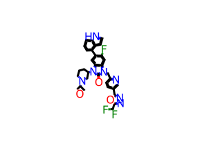 O=c1n(Cc2ccc(-c3nnc(C(F)F)o3)cn2)c2cc(F)c(-c3cccc4[nH]ccc34)cc2n1C1CCCN(C2COC2)C1